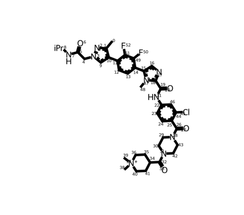 Cc1nn(CC(=O)NC(C)C)cc1-c1ccc(-c2cnc(C(=O)Nc3ccc(C(=O)N4CCN(C(=O)C5CC[N+](C)(C)CC5)CC4)c(Cl)c3)n2C)c(F)c1F